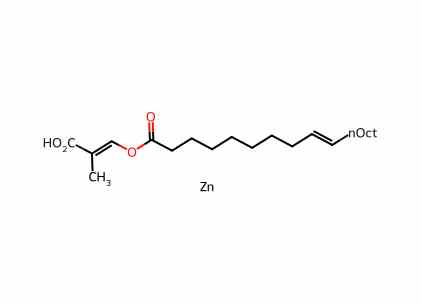 CCCCCCCC/C=C/CCCCCCCC(=O)OC=C(C)C(=O)O.[Zn]